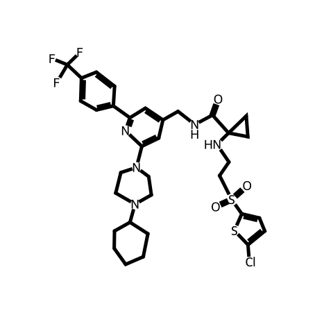 O=C(NCc1cc(-c2ccc(C(F)(F)F)cc2)nc(N2CCN(C3CCCCC3)CC2)c1)C1(NCCS(=O)(=O)c2ccc(Cl)s2)CC1